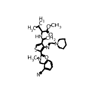 C=C(NC(C(=O)OC)C(C)C)c1csc(C(=O)N(C)Cc2ccccc2C#N)c1/N=C/N1CCCCC1